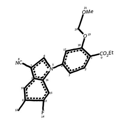 CCOC(=O)c1ccc(-n2cc(C#N)c3cc(C)c(F)cc32)cc1OCOC